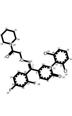 O=C(CO/N=C(/c1ccc(=O)n(-c2c(Cl)cccc2Cl)c1)c1ccc(F)cc1F)N1CCCCC1